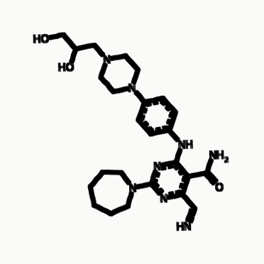 N=Cc1nc(N2CCCCCC2)nc(Nc2ccc(N3CCN(CC(O)CO)CC3)cc2)c1C(N)=O